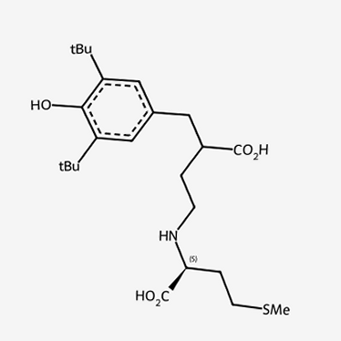 CSCC[C@H](NCCC(Cc1cc(C(C)(C)C)c(O)c(C(C)(C)C)c1)C(=O)O)C(=O)O